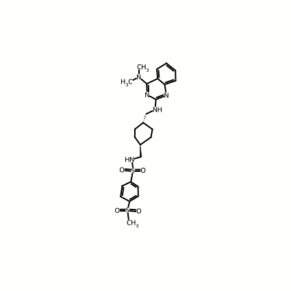 CN(C)c1nc(NC[C@H]2CC[C@H](CNS(=O)(=O)c3ccc(S(C)(=O)=O)cc3)CC2)nc2ccccc12